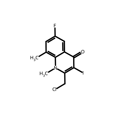 Cc1cc(F)cc2c(=O)c(I)c(CCl)n(C)c12